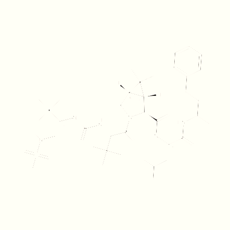 CC(CCc1ccccc1)NC(=O)[C@H](CC(F)F)NC(=O)[C@@H]1[C@@H]2[C@H](CN1C(=O)[C@@H](NC(=O)N[C@H](CN(C)S(C)(=O)=O)C(C)(C)C)C(C)(C)C)C2(C)C